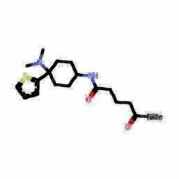 CNC(=O)CCCC(=O)NC1CCC(c2cccs2)(N(C)C)CC1